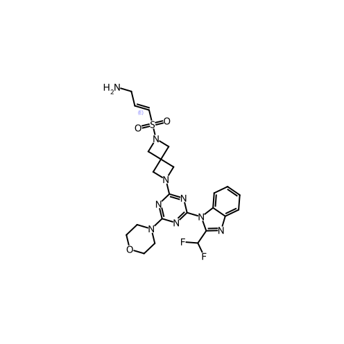 NC/C=C/S(=O)(=O)N1CC2(CN(c3nc(N4CCOCC4)nc(-n4c(C(F)F)nc5ccccc54)n3)C2)C1